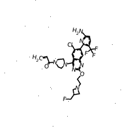 C=CC(=O)N1CCN(c2nc(OCCN3CC(CF)C3)nc3cc(-c4nc(N)ccc4C(F)(F)F)c(Cl)cc23)CC1